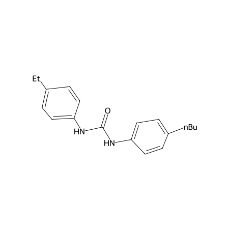 CCCCc1ccc(NC(=O)Nc2ccc(CC)cc2)cc1